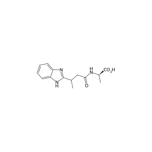 CC(CC(=O)N[C@H](C)C(=O)O)c1nc2ccccc2[nH]1